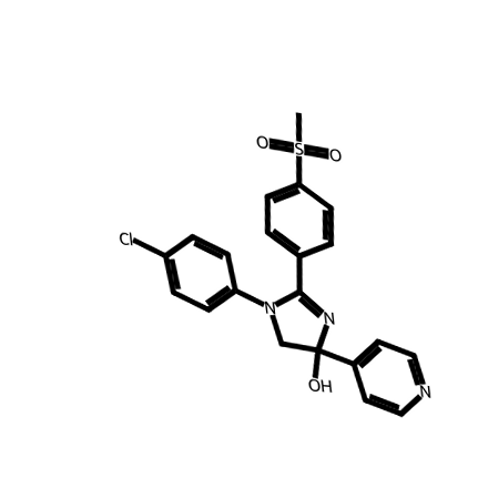 CS(=O)(=O)c1ccc(C2=NC(O)(c3ccncc3)CN2c2ccc(Cl)cc2)cc1